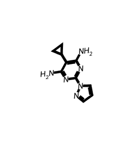 Nc1nc(-n2cccn2)nc(N)c1C1CC1